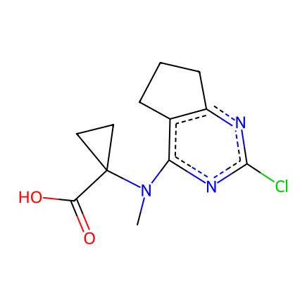 CN(c1nc(Cl)nc2c1CCC2)C1(C(=O)O)CC1